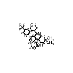 CC1(C)Cc2nc(C3CCOCC3)c3c(c2C(O)C1)C1(CCOCC1)O[C@@H]3c1ccc(C(F)(F)F)cn1